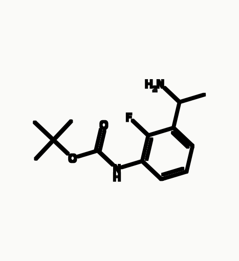 CC(N)c1cccc(NC(=O)OC(C)(C)C)c1F